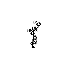 O=C(NCc1cccc(Br)c1)c1c[nH]c2ccc(-c3ccc4nc(NC(=O)C5CC5)sc4c3)cc12